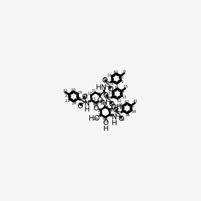 Cc1ccc(S(=O)(=O)NC[C@@H]2CCC(NS(=O)(=O)c3ccc(C)cc3)[C@@H](OC3C(O)[C@@H](O)C(NS(=O)(=O)c4ccc(C)cc4)[C@H](O)[C@@H]3NS(=O)(=O)c3ccc(C)cc3)O2)cc1